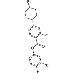 CC[C@H]1CC[C@H](c2ccc(C(=O)Oc3ccc(F)c(Cl)c3)c(F)c2)CC1